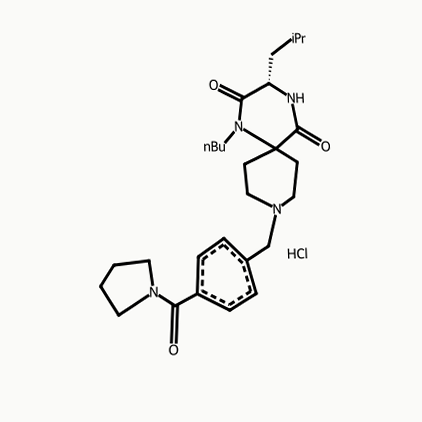 CCCCN1C(=O)[C@H](CC(C)C)NC(=O)C12CCN(Cc1ccc(C(=O)N3CCCC3)cc1)CC2.Cl